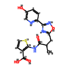 CC(Cc1nc(-c2ccc(O)cn2)no1)C(=O)Nc1sccc1C(=O)O